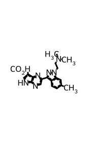 Cc1ccc2c(-c3cnc4[nH]cc(C(=O)O)c4n3)nn(CCN(C)C)c2c1